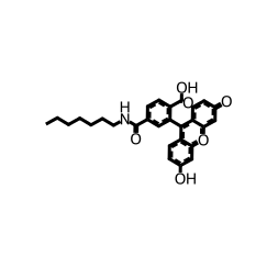 CCCCCCCNC(=O)c1ccc(C(=O)O)c(-c2c3ccc(=O)cc-3oc3cc(O)ccc23)c1